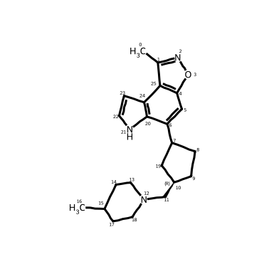 Cc1noc2cc(C3CC[C@@H](CN4CCC(C)CC4)C3)c3[nH]ccc3c12